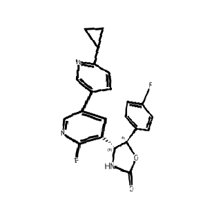 O=C1N[C@H](c2cc(-c3ccc(C4CC4)nc3)cnc2F)[C@@H](c2ccc(F)cc2)O1